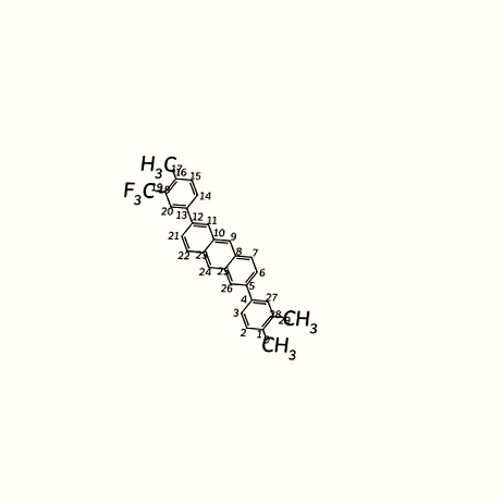 Cc1ccc(-c2ccc3cc4cc(-c5ccc(C)c(C(F)(F)F)c5)ccc4cc3c2)cc1C